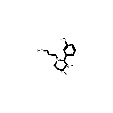 C[C@H]1CCN(CCCO)C(c2cccc(O)c2)[C@@H]1C